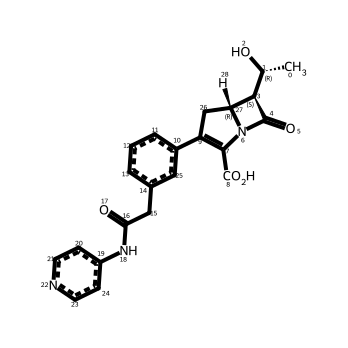 C[C@@H](O)[C@H]1C(=O)N2C(C(=O)O)=C(c3cccc(CC(=O)Nc4ccncc4)c3)C[C@H]12